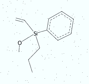 C=C[Si](CCC)(OC)c1ccccc1